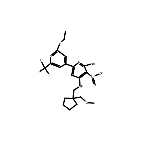 CCOc1cc(-c2cc(NCC3(COC)CCCC3)c([N+](=O)[O-])c(N)n2)cc(C(F)(F)F)n1